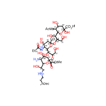 CCCCCCCCCCCCNCC(O)C1OC(OC(CO)C(O)C2OC(OC(CO)C(O)C3OC(O)(C(=O)O)CC(O)C3NC(C)=O)(C(=O)O)CC(O)C2NC(=O)CC)(C(=O)OC)CC(O)C1N